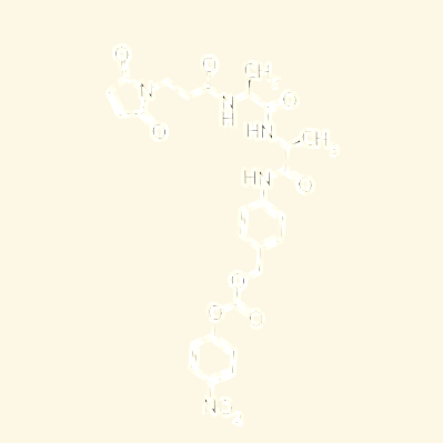 C[C@H](NC(=O)CCN1C(=O)C=CC1=O)C(=O)N[C@@H](C)C(=O)Nc1ccc(COC(=O)Oc2ccc([N+](=O)[O-])cc2)cc1